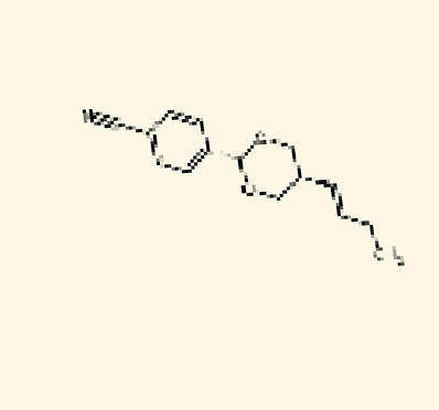 CCC=C[C@H]1CO[C@H](c2ccc(C#N)cc2)OC1